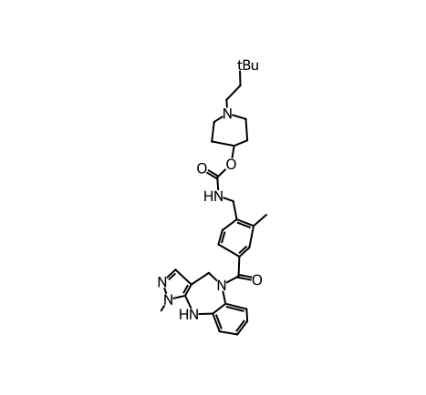 Cc1cc(C(=O)N2Cc3cnn(C)c3Nc3ccccc32)ccc1CNC(=O)OC1CCN(CCC(C)(C)C)CC1